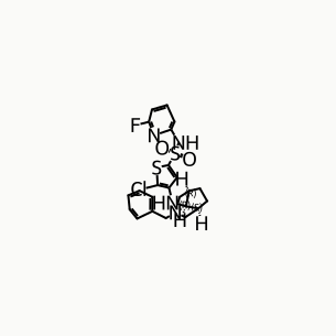 O=S(=O)(Nc1cccc(F)n1)c1cc(N[C@H]2[C@@H]3CC[C@H]2CN(Cc2ccccc2)C3)c(Cl)s1